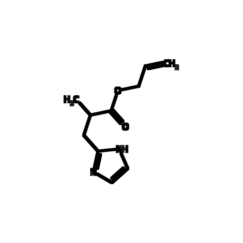 C=CCOC(=O)C(C)Cc1ncc[nH]1